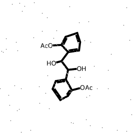 CC(=O)Oc1ccccc1C(O)C(O)c1ccccc1OC(C)=O